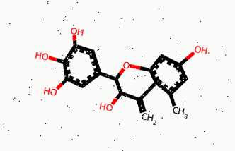 C=C1c2c(C)cc(O)cc2OC(c2cc(O)c(O)c(O)c2)C1O